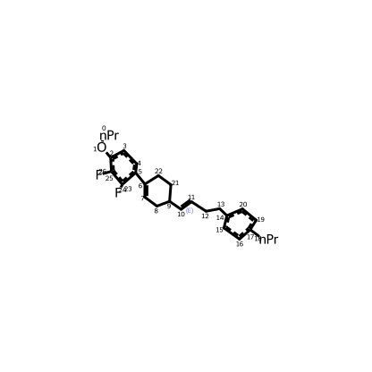 CCCOc1ccc(C2=CCC(/C=C/CCc3ccc(CCC)cc3)CC2)c(F)c1F